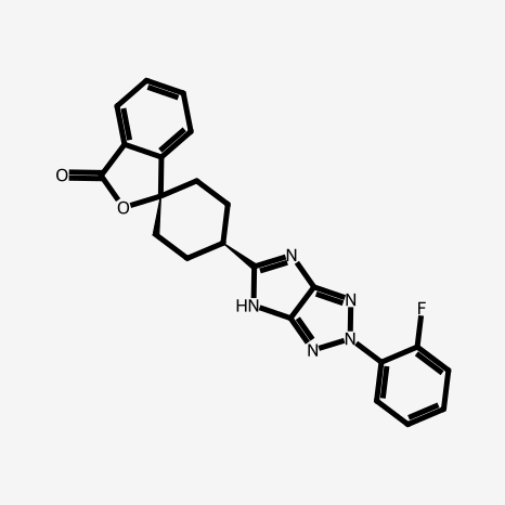 O=C1O[C@]2(CC[C@H](c3nc4nn(-c5ccccc5F)nc4[nH]3)CC2)c2ccccc21